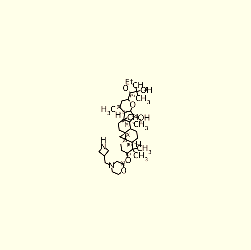 CCO[C@@H](C1C[C@@H](C)[C@H]2C(O1)[C@H](O)[C@@]1(C)C3CC[C@H]4C(C)(C)[C@@H](O[C@H]5CN(CC6CNC6)CCO5)CC[C@@]45C[C@@]35CC[C@]21C)C(C)(C)O